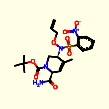 C=CCON([C@H]1CN(C(=O)OC(C)(C)C)[C@H](C(N)=O)C=C1C)S(=O)(=O)c1ccccc1[N+](=O)[O-]